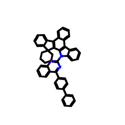 c1ccc(-c2ccc(-c3nc(-n4c5ccccc5c5c6ccccc6c6c(c54)C4(CCCCC4)c4ccccc4-6)nc4ccccc34)cc2)cc1